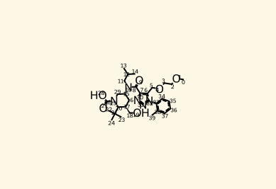 COCCOCc1c(C(=O)N(CC(C)C)[C@H]2C[C@@H](CO)C(C(C)(C)C)N(C(=O)O)C2)nnn1-c1ccccc1C